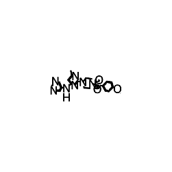 COc1ccc(S(=O)(=O)N2CCN(c3nc(C)cc(Nc4cncnc4)n3)CC2)cc1